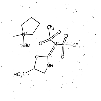 CCCC[N+]1(C)CCCC1.O=C(O)C1CNC(=[N+](S(=O)(=O)C(F)(F)F)S(=O)(=O)C(F)(F)F)O1